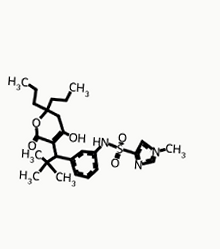 CCCC1(CCC)CC(O)=C(C(c2cccc(NS(=O)(=O)c3cn(C)cn3)c2)C(C)(C)C)C(=O)O1